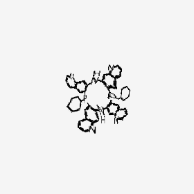 c1cnc2cc3c(cc2c1)P(C1CCCCC1)c1cc2cccnc2cc1Nc1cc2ncccc2cc1P(C1CCCCC1)c1cc2cccnc2cc1N3